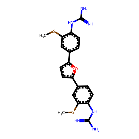 CSc1cc(-c2ccc(-c3ccc(NC(=N)N)c(SC)c3)o2)ccc1NC(=N)N